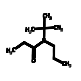 CCCN(C(=O)CC)C(C)(C)C